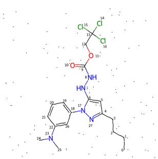 CCCCc1cc(NNC(=O)OCC(Cl)(Cl)Cl)n(-c2cccc(N(C)C)c2)n1